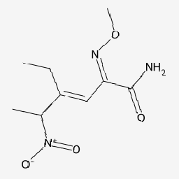 CC/C(=C\C(=NOC)C(N)=O)C(C)[N+](=O)[O-]